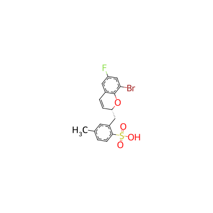 Cc1ccc(S(=O)(=O)O)c(C[C@@H]2C=Cc3cc(F)cc(Br)c3O2)c1